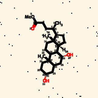 COC(=O)CC[C@@H](C)[C@H]1CC[C@H]2C3C(CCC12C)C1(C)CC[C@@H](O)CC1C[C@H]3O